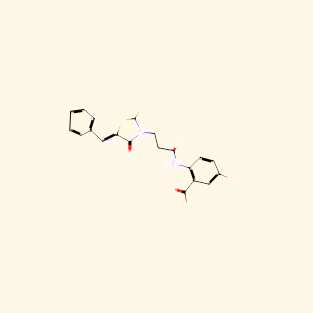 O=C(CCN1C(=O)/C(=C/c2ccccc2)SC1S)Nc1ccc(O)cc1C(=O)O